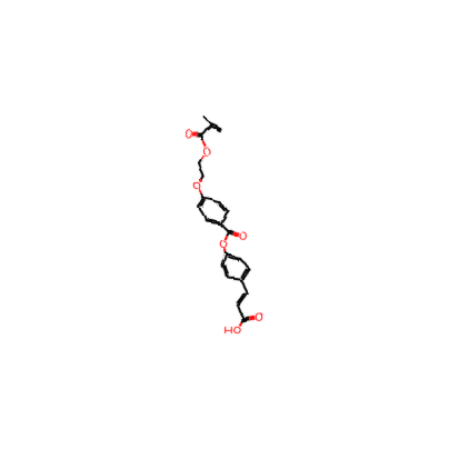 C=C(C)C(=O)OCCOc1ccc(C(=O)Oc2ccc(/C=C/C(=O)O)cc2)cc1